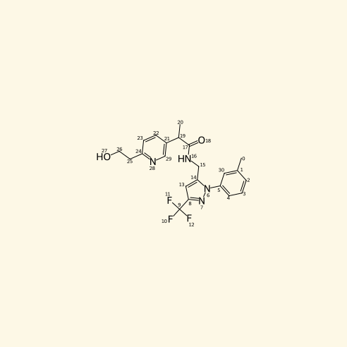 Cc1cccc(-n2nc(C(F)(F)F)cc2CNC(=O)C(C)c2ccc(CCO)nc2)c1